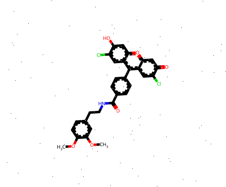 COc1ccc(CCNC(=O)c2ccc(-c3c4cc(Cl)c(=O)cc-4oc4cc(O)c(Cl)cc34)cc2)cc1OC